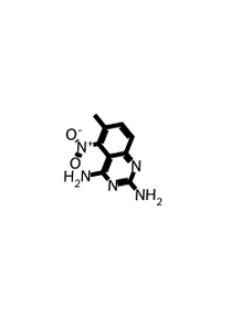 Cc1ccc2nc(N)nc(N)c2c1[N+](=O)[O-]